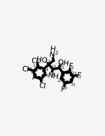 NC[C@@](O)(c1cc(Cl)cc(Cl)c1Cl)C(N)C(O)c1cc(F)cc(F)c1F